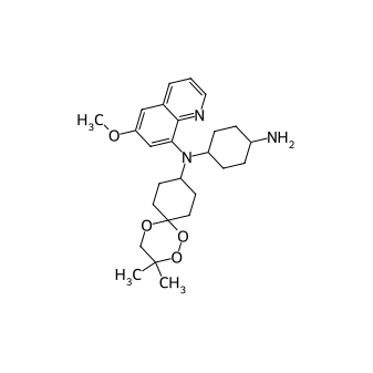 COc1cc(N(C2CCC(N)CC2)C2CCC3(CC2)OCC(C)(C)OO3)c2ncccc2c1